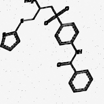 O=C(Nc1ccc(S(=O)(=O)CC(CSc2cccs2)C(=O)O)cc1)c1ccccc1